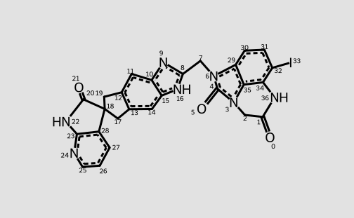 O=C1Cn2c(=O)n(Cc3nc4cc5c(cc4[nH]3)CC3(C5)C(=O)Nc4ncccc43)c3ccc(I)c(c32)N1